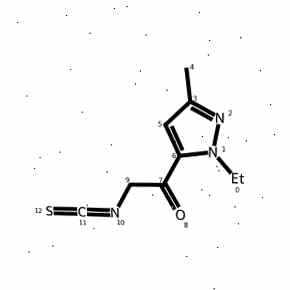 CCn1nc(C)cc1C(=O)CN=C=S